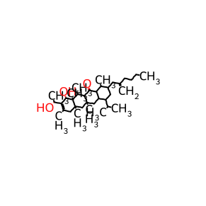 C=C(CCCC)CC1CC(C(C)C)C2CC3(C)CC4(C)CC(C)=C(C(C)O)C(O)C4(C)C(C)C3C(=O)C2C1C